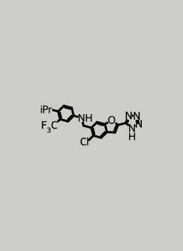 CC(C)c1ccc(NCc2cc3oc(-c4nnn[nH]4)cc3cc2Cl)cc1C(F)(F)F